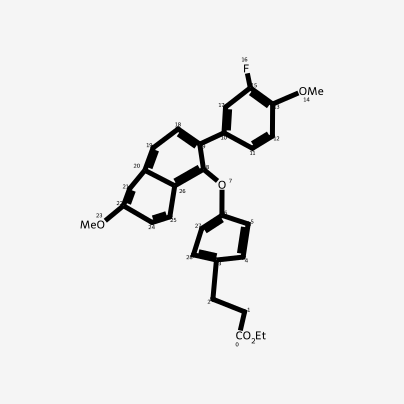 CCOC(=O)CCc1ccc(Oc2c(-c3ccc(OC)c(F)c3)ccc3cc(OC)ccc23)cc1